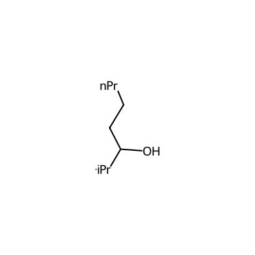 CCCCCC(O)[C](C)C